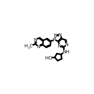 Cc1ncc2cc(-n3nnc4cnc(NC5CCC(O)C5)nc43)ccc2n1